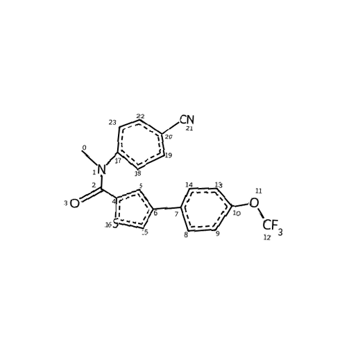 CN(C(=O)c1cc(-c2ccc(OC(F)(F)F)cc2)cs1)c1ccc(C#N)cc1